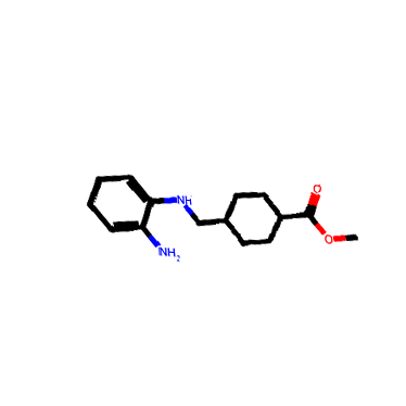 COC(=O)C1CCC(CNC2=CCCC=C2N)CC1